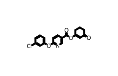 O=C1C=C(OC(=O)c2ccc(Oc3cccc(Cl)c3)nc2)CCC1